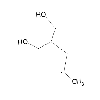 C[CH]C[C](CO)CO